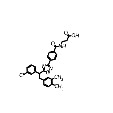 Cc1ccc(CC(c2cccc(Cl)c2)c2nc(-c3ccc(C(=O)NCCC(=O)O)cc3)no2)cc1C